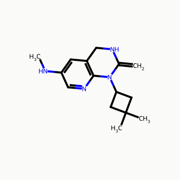 C=C1NCc2cc(NC)cnc2N1C1CC(C)(C)C1